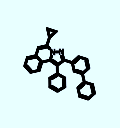 c1ccc(-c2cccc(-c3nn4c(C5CC5)cc5ccccc5c4c3-c3ccccc3)c2)cc1